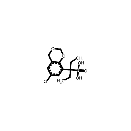 CCC(CC)(c1cc(Cl)cc2c1OCOC2)P(=O)(O)O